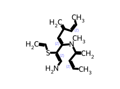 C=CSC(=C\N)/C(=C/C(=C)/C=C\C)N(C)C(=C)/C=C\C